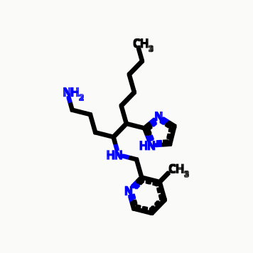 CCCCCC(c1ncc[nH]1)C(CCCN)NCc1ncccc1C